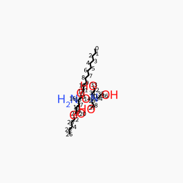 CCCCCCCCCCCCOC(=O)C(N)CCC(=O)OCCCCC.OCCN(CCO)CCO